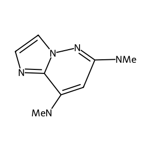 CNc1cc(NC)c2nccn2n1